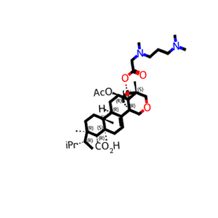 CC(=O)O[C@@H]1C[C@@]23COC[C@](C)([C@@H]2CC[C@H]2C3=CC[C@@]3(C)[C@H](C(=O)O)[C@@](C)([C@H](C)C(C)C)CC[C@]23C)[C@H]1OC(=O)CN(C)CCCN(C)C